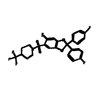 O=S(=O)(c1cc2c(cc1F)OC(c1ccc(F)cc1)(c1ccc(F)cc1)O2)N1CCC(C(F)(F)F)CC1